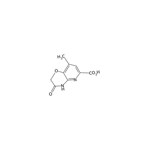 Cc1cc(C(=O)O)nc2c1OCC(=O)N2